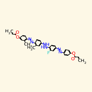 C=CC(=O)Oc1ccc(/N=N/c2ccc(NNc3ccc(/N=N/c4ccc(OC(=O)C=C)cc4C)c(C)c3)c(F)c2)cc1